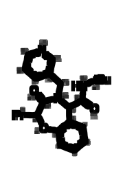 CC(C)C1Oc2ccccc2C(C(=O)NC(C)(C)C)N(Cc2cccnc2)C1=O